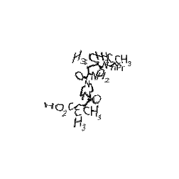 CCCC(C)(C)CNC(=O)C(C)CC(N)C(=O)N1CCN(C(=O)C(C)CC(C)C(=O)O)CC1